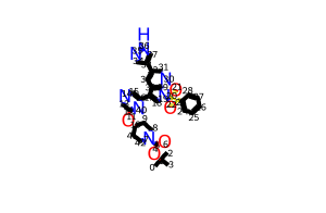 CC(C)(C)OC(=O)N1CCC(Oc2cncc(-c3cn(S(=O)(=O)c4ccccc4)c4ncc(-c5cn[nH]c5)cc34)n2)CC1